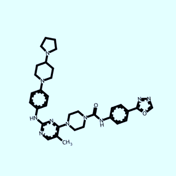 Cc1cnc(Nc2ccc(N3CCC(N4CCCC4)CC3)cc2)nc1N1CCN(C(=O)Nc2ccc(-c3nnco3)cc2)CC1